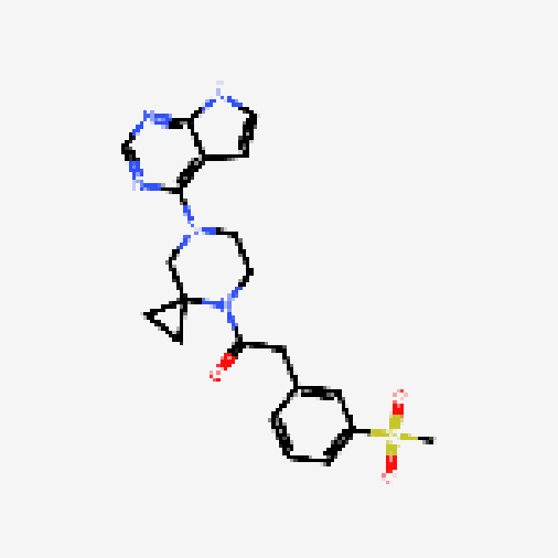 CS(=O)(=O)c1cccc(CC(=O)N2CCN(c3ncnc4[nH]ccc34)CC23CC3)c1